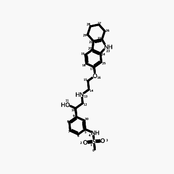 CS(=O)(=O)Nc1cccc(C(O)CNCCOc2ccc3c4c([nH]c3c2)CCCC4)c1